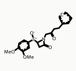 COc1ccc([S+]([O-])C2CC(=O)N2CC(=O)CCc2ccccc2)cc1OC